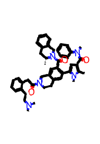 Cc1c(C(=O)N(C)c2ccccc2)cc(-c2cc3c(cc2C(=O)N2Cc4ccccc4C[C@H]2C)CN(C(=O)Cc2ccccc2CCN(C)C)CC3)n1C